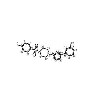 Cc1ccc(S(=O)(=O)C2CCN(c3nc(-c4cccc(C)c4)cs3)CC2)cc1